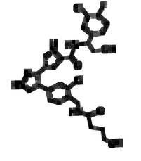 O=C(CCCO)NCc1ccc(-c2c[nH]nc2-c2c[nH]c(C(=O)NC(CO)c3ccc(F)c(Cl)c3)c2)cc1Cl